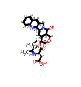 CC[C@@]1(OC(=O)[C@@H](CC(=O)O)NC(C)C)C(=O)OCc2c1cc1n(c2=O)Cc2cc3ccccc3nc2-1